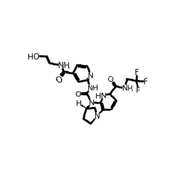 O=C(NCCO)c1ccnc(NC(=O)N2C3=C(C=CC(C(=O)NCC(F)(F)F)N3)N3CC[C@H]2C3)c1